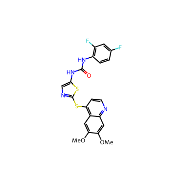 COc1cc2nccc(Sc3ncc(NC(=O)Nc4ccc(F)cc4F)s3)c2cc1OC